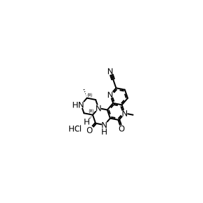 C[C@@H]1CN2c3c(c(=O)n(C)c4ccc(C#N)nc34)NC(=O)[C@H]2CN1.Cl